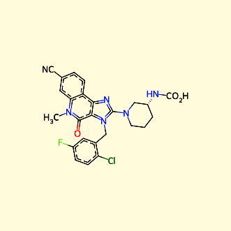 Cn1c(=O)c2c(nc(N3CCC[C@@H](NC(=O)O)C3)n2Cc2cc(F)ccc2Cl)c2ccc(C#N)cc21